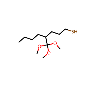 CCCCC(CCCS)C(OC)(OC)OC